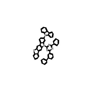 c1ccc(-c2cccc(-c3nc(-c4ccccc4)nc(-n4c5cc(-n6c7ccccc7c7ccccc76)ccc5c5cc6sc7ccccc7c6cc54)n3)c2)cc1